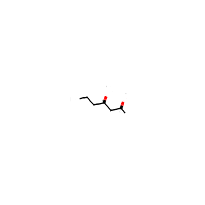 CCCC(=O)CC(C)=O.[Rh]